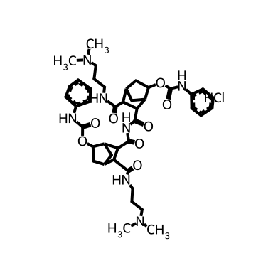 CN(C)CCCNC(=O)C1C2CC(OC(=O)Nc3ccccc3)C(C2)C1C(=O)NC(=O)C1C2CC(CC2OC(=O)Nc2ccccc2)C1C(=O)NCCCN(C)C.Cl